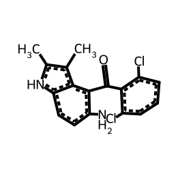 Cc1[nH]c2ccc(N)c(C(=O)c3c(Cl)cccc3Cl)c2c1C